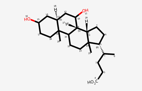 CC(CCC(=O)O)[C@H]1CC[C@H]2[C@H]3C(O)C[C@@H]4CC(O)CCC4(C)C3CCC12C